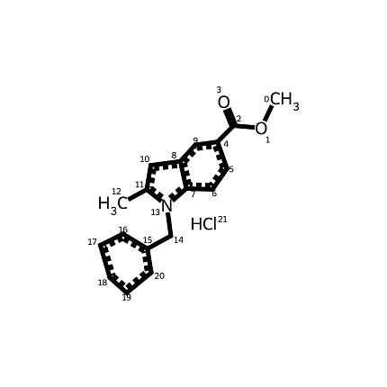 COC(=O)c1ccc2c(c1)cc(C)n2Cc1ccccc1.Cl